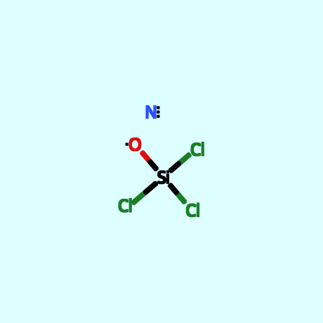 [N].[O][Si](Cl)(Cl)Cl